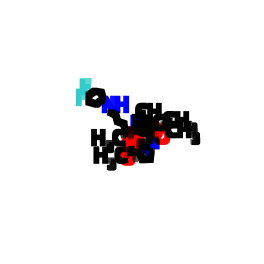 COC(=O)[C@@H]1CCCN1[S@@](=O)(=NC(=O)OC(C)(C)C)c1ccc(C)nc1O[C@H](C)CCCCNC1CCC(F)(F)CC1